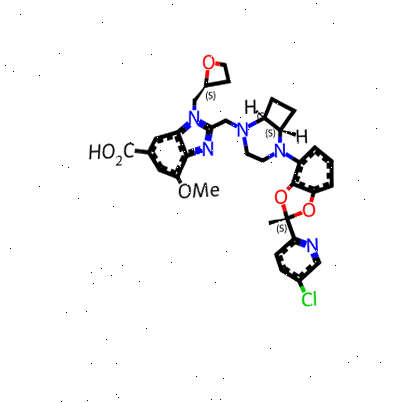 COc1cc(C(=O)O)cc2c1nc(CN1CCN(c3cccc4c3O[C@@](C)(c3ccc(Cl)cn3)O4)[C@H]3CC[C@@H]31)n2C[C@@H]1CCO1